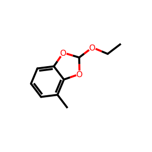 CCOC1Oc2cccc(C)c2O1